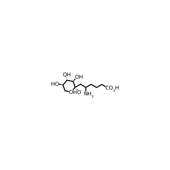 NC(CCCC(=O)O)C[C@@]1(O)OC[C@@H](O)[C@H](O)[C@H]1O